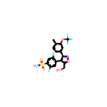 Cc1ccc(-c2noc(CO)c2-c2cc(F)c(S(N)(=O)=O)cc2F)cc1OC(F)(F)F